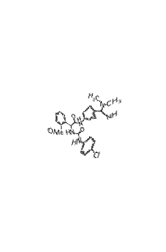 COc1ccccc1C(NC(=O)Nc1ccc(Cl)cc1)C(=O)Nc1ccc(C(=N)N(C)C)cc1